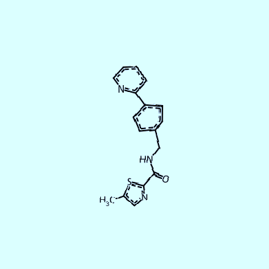 Cc1cnc(C(=O)NCc2ccc(-c3ccccn3)cc2)s1